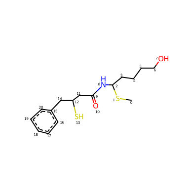 CSC(CCCCO)NC(=O)CC(S)Cc1ccccc1